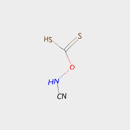 N#CNOC(=S)S